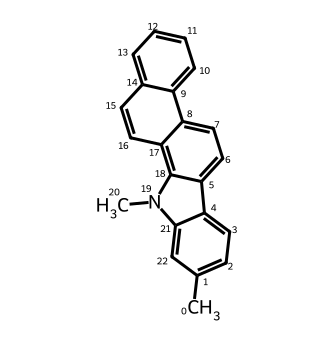 Cc1ccc2c3ccc4c5ccccc5ccc4c3n(C)c2c1